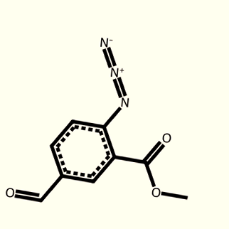 COC(=O)c1cc(C=O)ccc1N=[N+]=[N-]